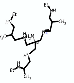 CCNCC(C)/C=N/C[C@](N)(CNCC(C)CNCC)CNCC(C)NCC